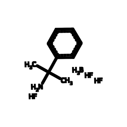 B.CC(C)(N)c1ccccc1.F.F.F